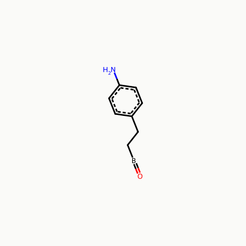 Nc1ccc(CCB=O)cc1